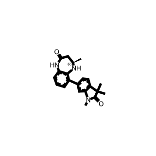 C[C@@H]1CC(=O)Nc2cccc(-c3ccc4c(c3)N(C)C(=O)C4(C)C)c2N1